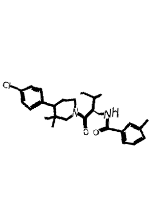 Cc1cccc(C(=O)N[C@@H](C(=O)N2CCC(c3ccc(Cl)cc3)C(C)(C)C2)C(C)C)c1